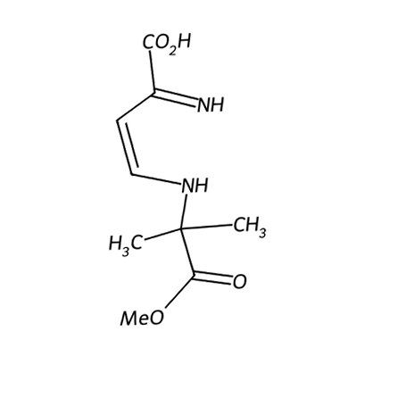 COC(=O)C(C)(C)N/C=C\C(=N)C(=O)O